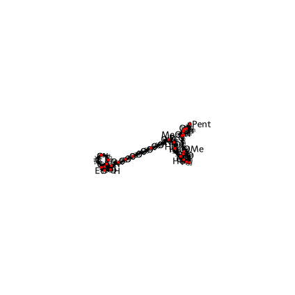 CCCCCC1=CN2C(=O)c3cc(OC)c(OCCCCCOc4cc5c(cc4OC)C(=O)N4C=C(C)C[C@H]4[C@H](O)N5C(=O)OCc4ccc(NC(=O)[C@H](C)NC(=O)[C@@H](NC(=O)CCOCCOCCOCCOCCOCCOCCOCCOCCNC(=O)CCN5C(=O)CC(SC(CC)(CC)CC6CCCCCCCCCCCCC6)C5=O)C(C)C)cc4)cc3N=C[C@@H]2C1